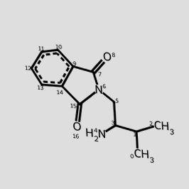 CC(C)C(N)CN1C(=O)c2ccccc2C1=O